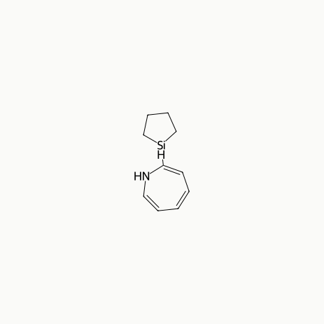 C1=CC=C([SiH]2CCCC2)NC=C1